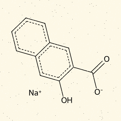 O=C([O-])c1cc2ccccc2cc1O.[Na+]